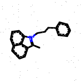 CC1=[N+](CCCc2ccccc2)c2cccc3cccc1c23